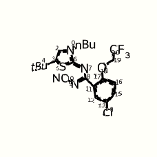 CCCCn1cc(C(C)(C)C)sc1=NC(=NC#N)c1cc(Cl)ccc1OCC(F)(F)F